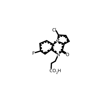 O=C(O)CCn1c(=O)c2ccc(Cl)n2c2ccc(F)cc21